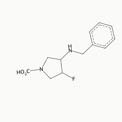 O=C(O)N1CC(F)C(NCc2ccccc2)C1